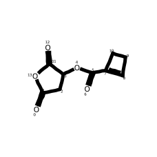 O=C1CC(OC(=O)C2=CCC2)C(=O)O1